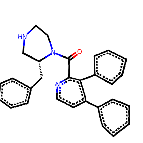 O=C(c1nccc(-c2ccccc2)c1-c1ccccc1)N1CCNC[C@H]1Cc1ccccc1